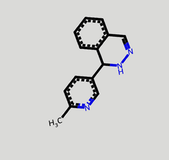 Cc1ccc(C2NN=Cc3ccccc32)cn1